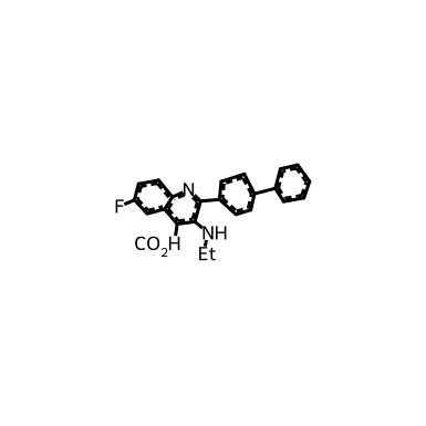 CCNc1c(-c2ccc(-c3ccccc3)cc2)nc2ccc(F)cc2c1C(=O)O